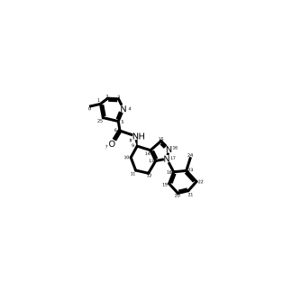 Cc1ccnc(C(=O)N[C@@H]2CCCc3c2cnn3-c2ccccc2C)c1